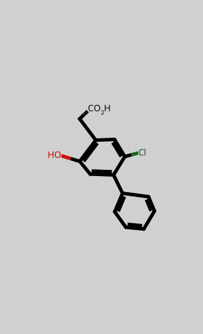 O=C(O)Cc1cc(Cl)c(-c2ccccc2)cc1O